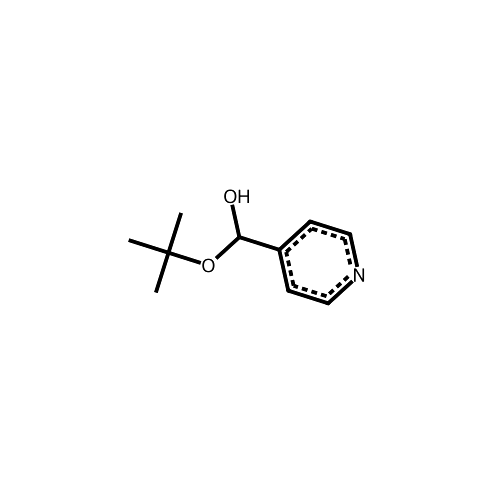 CC(C)(C)OC(O)c1ccncc1